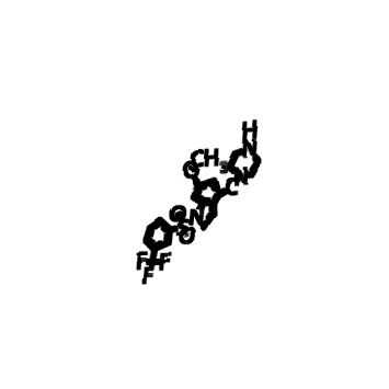 COc1cc(CN2CCNCC2)c2ccn(S(=O)(=O)c3cccc(C(F)(F)F)c3)c2c1